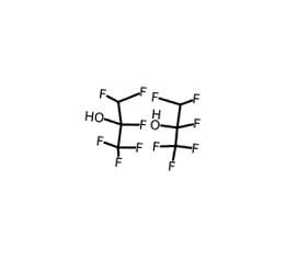 OC(F)(C(F)F)C(F)(F)F.OC(F)(C(F)F)C(F)(F)F